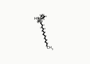 CCCCCCCCCCCCCCOP(=O)(O)n1ccnc1